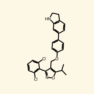 CC(C)c1onc(-c2c(Cl)cccc2Cl)c1COc1ccc(-c2ccc3c(c2)NCC3)cc1